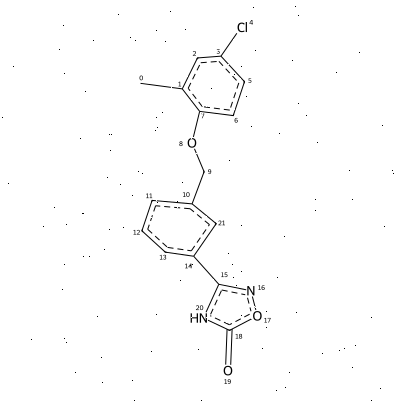 Cc1cc(Cl)ccc1OCc1cccc(-c2noc(=O)[nH]2)c1